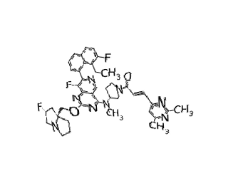 CCc1c(F)ccc2cccc(-c3ncc4c(N(C)[C@@H]5CCN(C(=O)C=Cc6cc(C)nc(C)n6)C5)nc(OC[C@@]56CCCN5C[C@H](F)C6)nc4c3F)c12